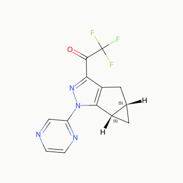 O=C(c1nn(-c2cnccn2)c2c1C[C@@H]1C[C@H]21)C(F)(F)F